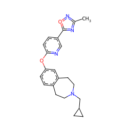 Cc1noc(-c2ccc(Oc3ccc4c(c3)CCN(CC3CC3)CC4)nc2)n1